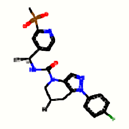 CCC[C@H](NC(=O)N1CC(CC)Cc2c1cnn2-c1ccc(F)cc1)c1ccnc(S(C)(=O)=O)c1